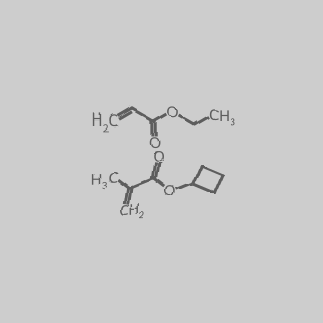 C=C(C)C(=O)OC1CCC1.C=CC(=O)OCC